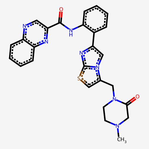 CN1CCN(Cc2csc3nc(-c4ccccc4NC(=O)c4cnc5ccccc5n4)cn23)C(=O)C1